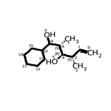 C=C[C@H](C)[C@@H](O)[C@@H](C)C(O)C1CCCCC1